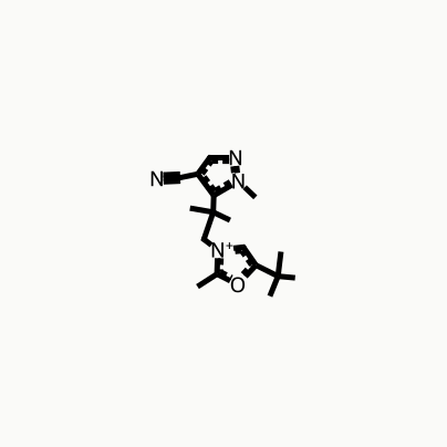 Cc1oc(C(C)(C)C)c[n+]1CC(C)(C)c1c(C#N)cnn1C